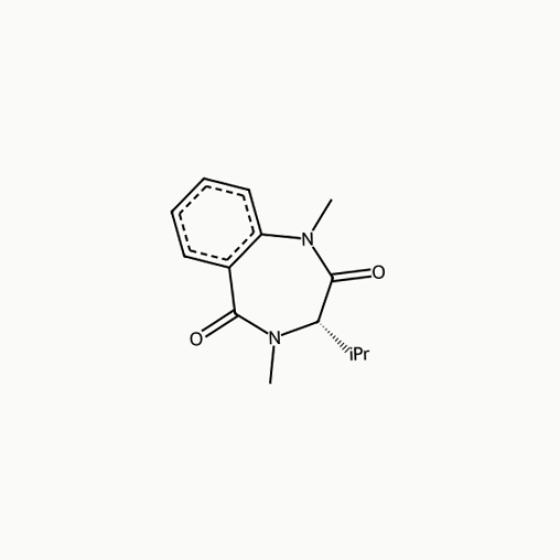 CC(C)[C@H]1C(=O)N(C)c2ccccc2C(=O)N1C